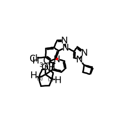 Cc1ncccc1C1(O)[C@@H]2CC[C@H]1CN(c1cc3c(cnn3-c3cnn(C45CC(C4)C5)c3)cc1Cl)C2